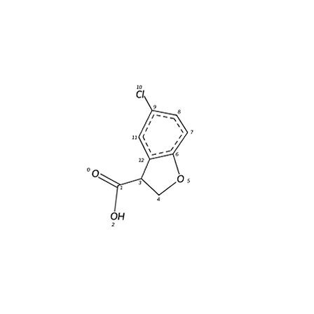 O=C(O)C1COc2ccc(Cl)cc21